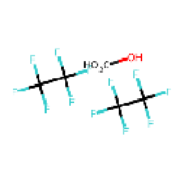 FC(F)(F)C(F)(F)F.FC(F)(F)C(F)(F)F.O=C(O)O